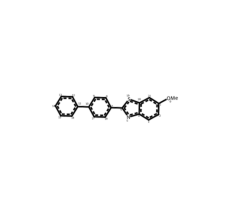 COc1ccc2nc(-c3ccc(-c4ccccc4)cc3)sc2c1